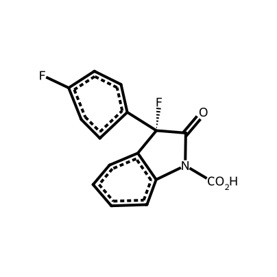 O=C(O)N1C(=O)[C@](F)(c2ccc(F)cc2)c2ccccc21